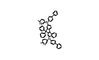 Cc1ccc(N(c2ccc(-c3ccccc3)cc2)c2ccc3c(c2)C(c2ccccc2)(c2ccccc2)c2cc(N(c4ccc(-c5ccccc5)cc4)c4ccc(C)nc4)c4ccccc4c2-3)cn1